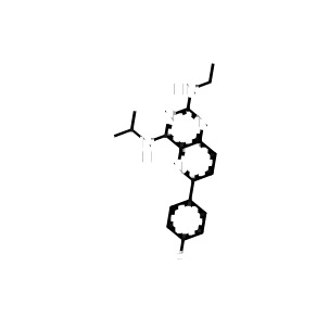 CCNc1nc(NC(C)C)c2nc(-c3ccc(F)cc3)ccc2n1